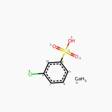 O=S(=O)(O)c1cccc(Cl)c1.[GaH3]